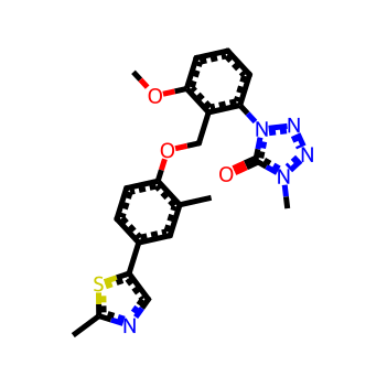 COc1cccc(-n2nnn(C)c2=O)c1COc1ccc(-c2cnc(C)s2)cc1C